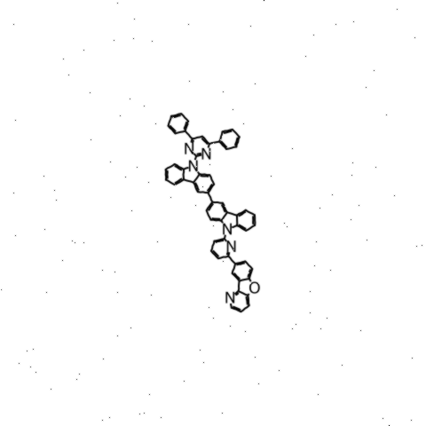 c1ccc(-c2cc(-c3ccccc3)nc(-n3c4ccccc4c4cc(-c5ccc6c(c5)c5ccccc5n6-c5cccc(-c6ccc7oc8cccnc8c7c6)n5)ccc43)n2)cc1